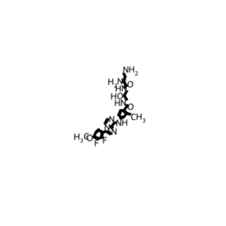 CCc1cc(Nc2nccn3c(-c4ccc(OC)c(F)c4F)cnc23)ccc1C(=O)NCC(O)CNC(=O)[C@@H](N)CCN